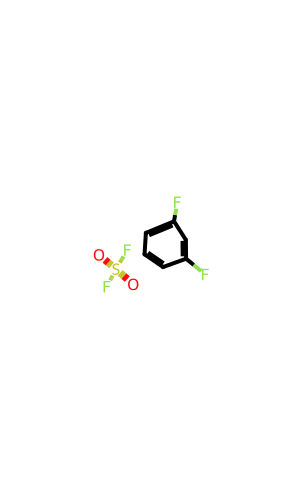 Fc1cccc(F)c1.O=S(=O)(F)F